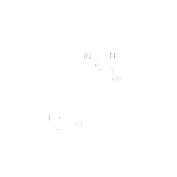 CC(C)(C)OC(=O)N1CCCC1c1nc2c([nH]1)CCc1cc(C#C[Si](C)(C)C)ccc1-2